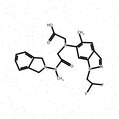 Cc1cc2cnn(CC(F)F)c2cc1N(CC(=O)O)CC(=O)N(C)N1Cc2ccccc2C1